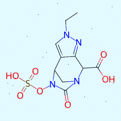 CCn1cc2c(n1)C(C(=O)O)N1CC2N(OS(=O)(=O)O)C1=O